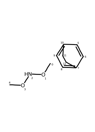 CONOC.c1cc2ccc1CC2